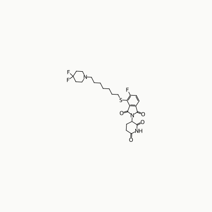 O=C1CCC(N2C(=O)c3ccc(F)c(SCCCCCCCN4CCC(F)(F)CC4)c3C2=O)C(=O)N1